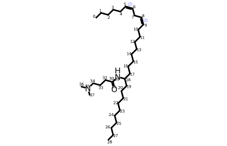 CCCCC/C=C\C/C=C\CCCCCCCCC(CCCCCCCCCC)NC(=O)CCCN(C)C